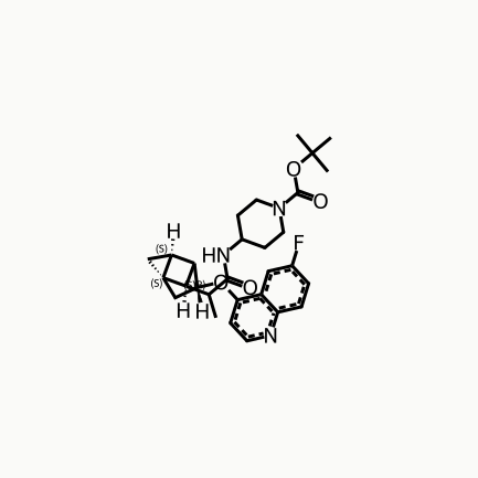 CC(C(=O)NC1CCN(C(=O)OC(C)(C)C)CC1)[C@@H]1C2[C@H](Oc3ccnc4ccc(F)cc34)C[C@]13C[C@@H]23